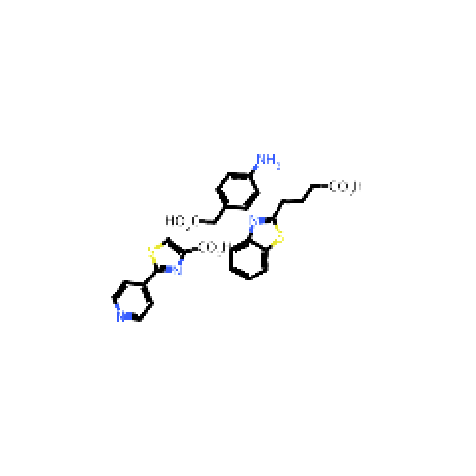 Nc1ccc(CC(=O)O)cc1.O=C(O)CCCc1nc2ccccc2s1.O=C(O)c1csc(-c2ccncc2)n1